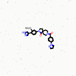 COc1cc(N2CCC3(CCN(C(=O)c4ccc(-n5cccn5)cc4)CC3)C2=O)ccc1-c1cn[nH]c1